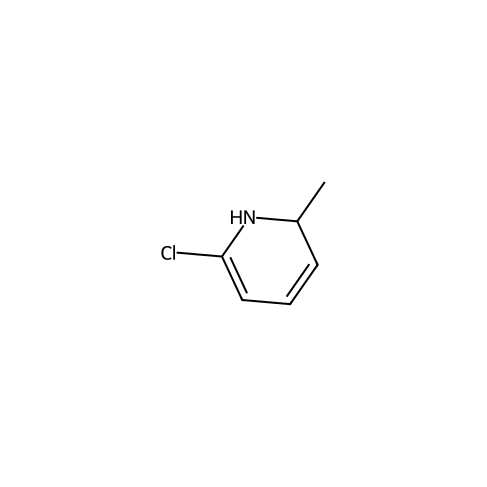 CC1C=CC=C(Cl)N1